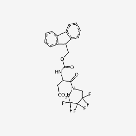 O=C(O)CC(NC(=O)OCC1c2ccccc2-c2ccccc21)C(=O)N1CC(F)(F)C(F)(F)C(F)(F)C1